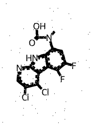 CN(C(=O)O)c1cc(F)c(F)c2c1[nH]c1ncc(Cl)c(Cl)c12